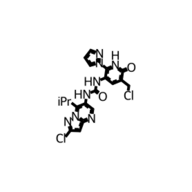 CC(C)c1c(NC(=O)Nc2cc(CCl)c(=O)[nH]c2-n2cccn2)cnc2cc(Cl)nn12